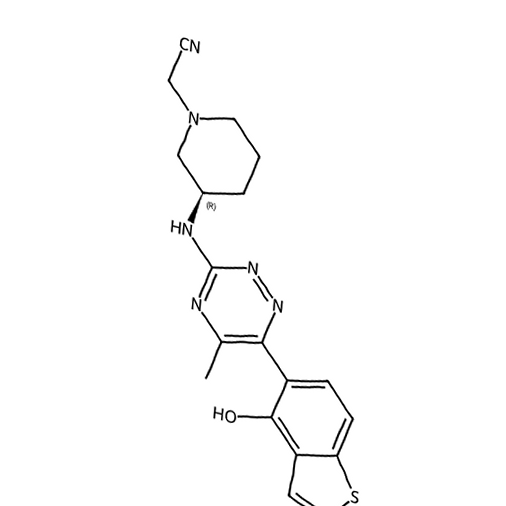 Cc1nc(N[C@@H]2CCCN(CC#N)C2)nnc1-c1ccc2sccc2c1O